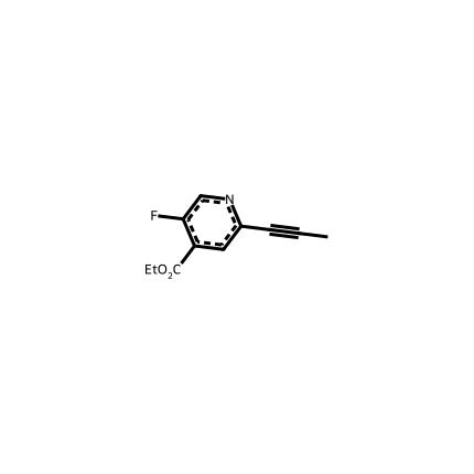 CC#Cc1cc(C(=O)OCC)c(F)cn1